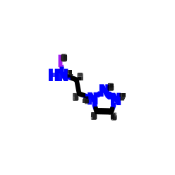 INCCn1ccnn1